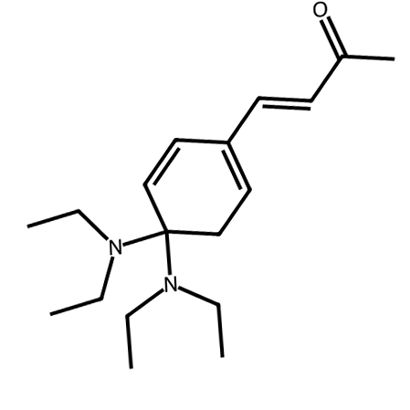 CCN(CC)C1(N(CC)CC)C=CC(C=CC(C)=O)=CC1